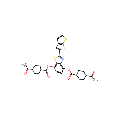 CC(=O)C1CCC(C(=O)Oc2ccc(OC(=O)C3CCC(C(C)=O)CC3)c3sc(-c4cc5ccsc5s4)nc23)CC1